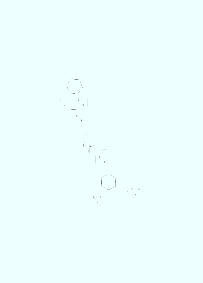 COc1ccc(CNC(=O)C2=NOC3(CCN(C(=S)Nc4ccccc4C(F)(F)F)CC3)C2)cc1OC